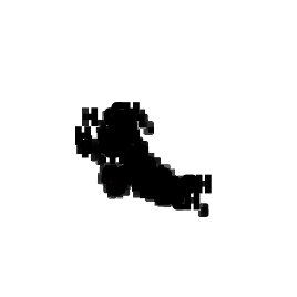 COc1ccc(Cn2nnc(-c3c(N4CCC(OCCO)CC4)ccc(S(=O)(=O)NC[C@@H](CNC(=O)OC(C)(C)C)O[Si](C)(C)C(C)(C)C)c3S(=O)(=O)N(Cc3ccccc3)Cc3ccccc3)n2)cc1